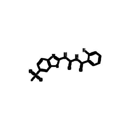 CS(=O)(=O)c1ccc2nc(NC(=O)NC(=O)c3ccccc3F)sc2c1